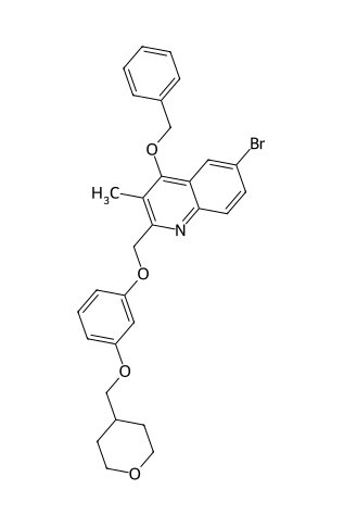 Cc1c(COc2cccc(OCC3CCOCC3)c2)nc2ccc(Br)cc2c1OCc1ccccc1